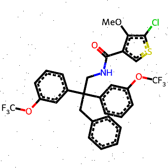 COc1c(C(=O)NCC(Cc2ccccc2)(c2cccc(OC(F)(F)F)c2)c2cccc(OC(F)(F)F)c2)csc1Cl